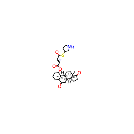 C[C@]12C(OC(=O)/C=C/C(=O)SC3CCNC3)CCCC1C(=O)C[C@@H]1[C@H]2CC[C@]2(C)C(=O)CC[C@@H]12